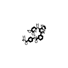 CNC(=O)c1ccc(NC(=O)c2cccc(-c3cc(Nc4ccc(OC)c(OC)n4)c4nccn4n3)c2)cc1